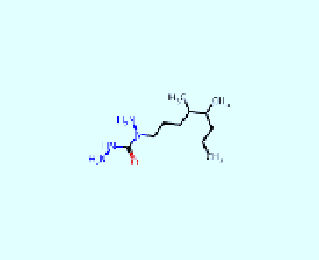 CCCC(C)C(C)CCCN(N)C(=O)NN